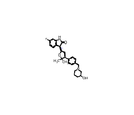 CC1(C)O/C(=C2/C(=O)Nc3cc(F)ccc32)C=C1c1ccc(CN2CCCC(O)C2)cc1